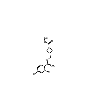 C=C(NCC1CN(C(=O)OC(C)(C)C)C1)c1ccc(Cl)cc1Cl